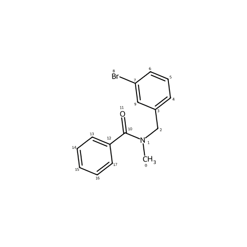 CN(Cc1cccc(Br)c1)C(=O)c1ccccc1